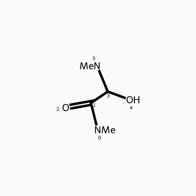 CNC(=O)C(O)NC